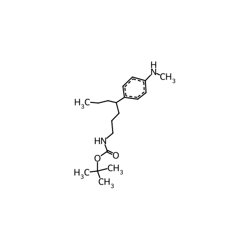 CCCC(CCCNC(=O)OC(C)(C)C)c1ccc(NC)cc1